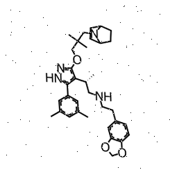 Cc1cc(C)cc(-c2[nH]nc(OCC(C)(C)CN3C4CCC3CC4)c2[C@H](C)CNCCc2ccc3c(c2)OCO3)c1